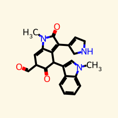 CN1C(=O)C(C2=CCNC2)=C2C1=CC(C=O)C(=O)C2c1cn(C)c2ccccc12